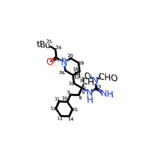 CN(C=O)C(=N)N[C@](C)(CCC1CCCCC1)CC1CCCN(C(=O)CC(C)(C)C)C1